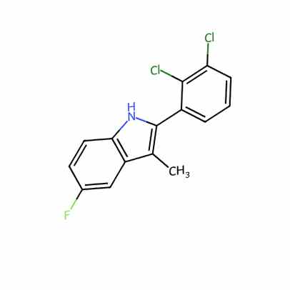 Cc1c(-c2cccc(Cl)c2Cl)[nH]c2ccc(F)cc12